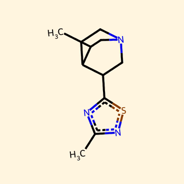 Cc1nsc(C2CN3CCC2C(C)C3)n1